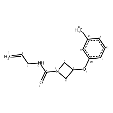 C=CCNC(=O)N1CC(Oc2cccc(C)c2)C1